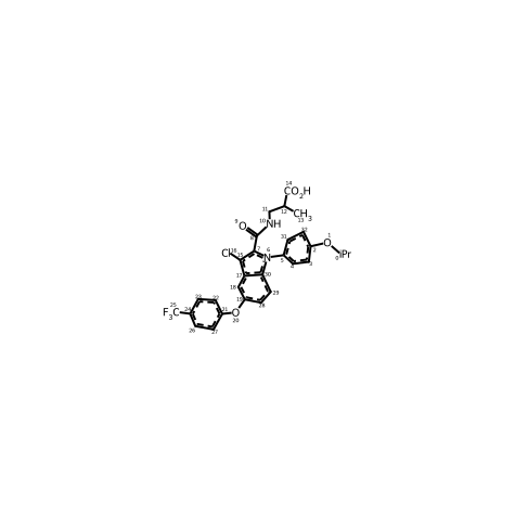 CC(C)Oc1ccc(-n2c(C(=O)NCC(C)C(=O)O)c(Cl)c3cc(Oc4ccc(C(F)(F)F)cc4)ccc32)cc1